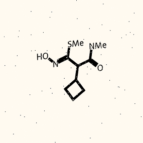 CNC(=O)C(C(=NO)SC)C1CCC1